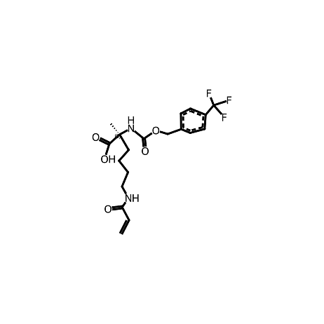 C=CC(=O)NCCCC[C@](C)(NC(=O)OCc1ccc(C(F)(F)F)cc1)C(=O)O